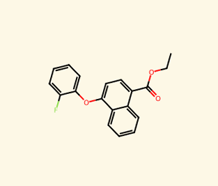 CCOC(=O)c1ccc(Oc2ccccc2F)c2ccccc12